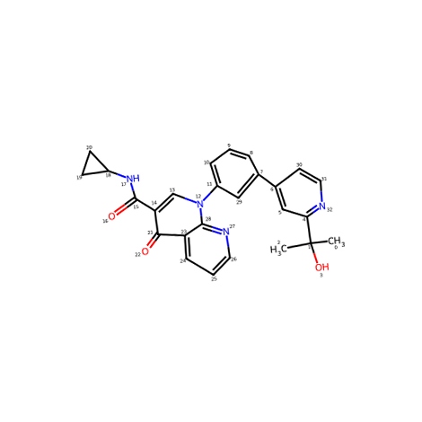 CC(C)(O)c1cc(-c2cccc(-n3cc(C(=O)NC4CC4)c(=O)c4cccnc43)c2)ccn1